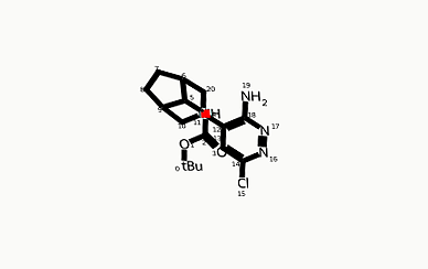 CC(C)(C)OC(=O)NC1C2CCC1CN(c1cc(Cl)nnc1N)C2